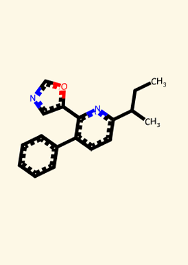 CCC(C)c1c[c]c(-c2ccccc2)c(-c2cnco2)n1